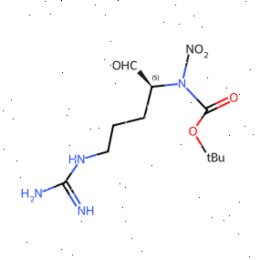 CC(C)(C)OC(=O)N([C@H]([C]=O)CCCNC(=N)N)[N+](=O)[O-]